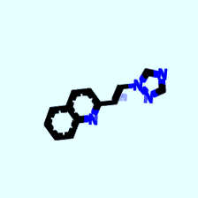 C(=C\n1cncn1)/c1ccc2ccccc2n1